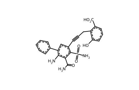 NC(=O)c1c(N)c(-c2ccccc2)cc(C#CCc2c(O)cccc2C(=O)O)c1S(N)(=O)=O